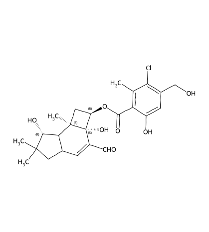 Cc1c(Cl)c(CO)cc(O)c1C(=O)O[C@@H]1C[C@]2(C)C3C(C=C(C=O)[C@]12O)CC(C)(C)[C@@H]3O